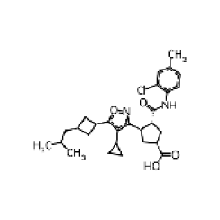 Cc1ccc(NC(=O)[C@@H]2C[C@@H](C(=O)O)C[C@H]2c2noc([C@H]3C[C@@H](CC(C)C)C3)c2C2CC2)c(Cl)c1